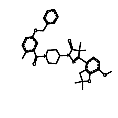 COc1ccc(C2=NN(C3CCN(C(=O)c4cc(OCc5ccccc5)ccc4C)CC3)C(=O)C2(C)C)c2c1OC(C)(C)C2